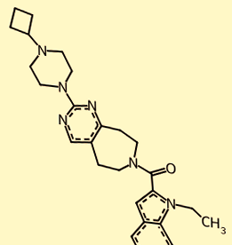 CCn1c(C(=O)N2CCc3cnc(N4CCN(C5CCC5)CC4)nc3CC2)cc2ccccc21